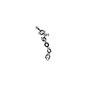 N#Cc1cnc(Nc2cn(-c3ccc(N4CC[C@@H](N5CCOCC5)C4)cc3)cn2)cn1